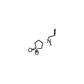 C=CCN(C)[C@H]1CCS(=O)(=O)C1